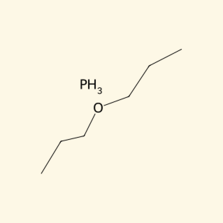 CCCOCCC.P